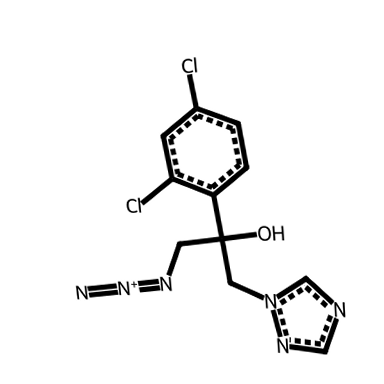 [N-]=[N+]=NCC(O)(Cn1cncn1)c1ccc(Cl)cc1Cl